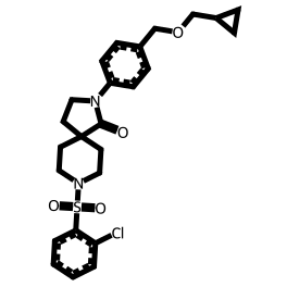 O=C1N(c2ccc(COCC3CC3)cc2)CCC12CCN(S(=O)(=O)c1ccccc1Cl)CC2